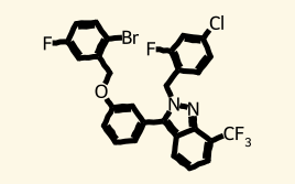 Fc1ccc(Br)c(COc2cccc(-c3c4cccc(C(F)(F)F)c4nn3Cc3ccc(Cl)cc3F)c2)c1